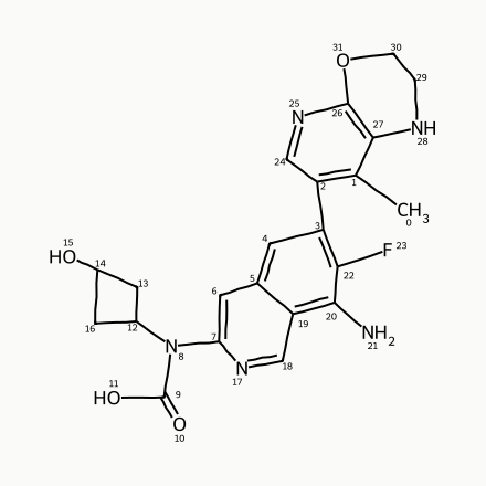 Cc1c(-c2cc3cc(N(C(=O)O)C4CC(O)C4)ncc3c(N)c2F)cnc2c1NCCO2